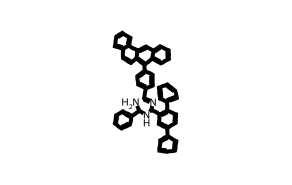 NC(NC(/N=C/c1ccc(-c2c3ccccc3cc3c2ccc2ccccc23)cc1)c1cc(-c2ccccc2)ccc1-c1ccccc1)c1ccccc1